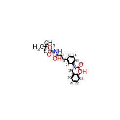 CC(C)(C)OC(=O)NC(O)CCc1cccc(N(Cc2ccccc2)C(=O)O)c1